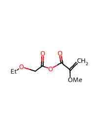 C=C(OC)C(=O)OC(=O)COCC